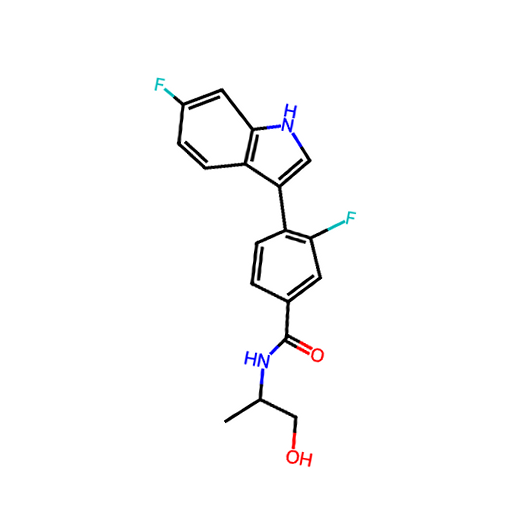 CC(CO)NC(=O)c1ccc(-c2c[nH]c3cc(F)ccc23)c(F)c1